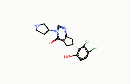 O=c1c2c(ncn1[C@H]1CCNC1)C[C@H](c1c(O)ccc(Cl)c1Cl)C2